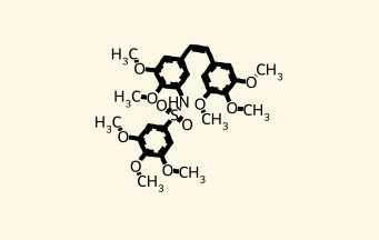 COc1cc(/C=C\c2cc(OC)c(OC)c(OC)c2)cc(NS(=O)(=O)c2cc(OC)c(OC)c(OC)c2)c1OC